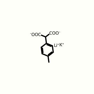 Cc1ccc(C(C(=O)[O-])C(=O)[O-])cc1.[K+].[Li+]